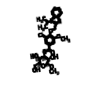 COc1cc(C(=O)O[C@H]2[C@@H](O)[C@@H](CO)O[C@H](OC)[C@@H]2O)cc(Cl)c1OCc1nc2ccccc2n1C(C)C